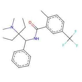 CCC(CC)(C(NC(=O)c1cc(C(F)(F)F)ccc1C)c1ccccc1)N(C)C